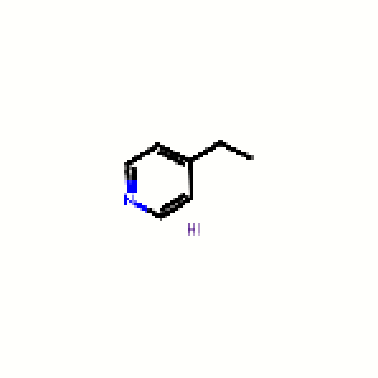 CCc1ccncc1.I